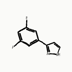 Fc1cc(F)cc(-c2cc[nH]n2)c1